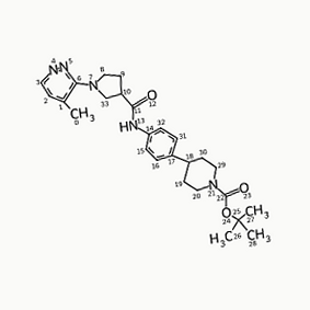 Cc1ccnnc1N1CCC(C(=O)Nc2ccc(C3CCN(C(=O)OC(C)(C)C)CC3)cc2)C1